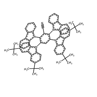 CC(C)(C)c1ccc2c(c1)c1cc(C(C)(C)C)ccc1n2-c1cc(-n2c3ccc(C(C)(C)C)cc3c3cc(C(C)(C)C)ccc32)c(-n2c3ccccc3c3ccccc32)c(C#N)c1-n1c2ccccc2c2ccccc21